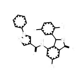 O=C(Nc1cc(Br)cc2c1C(c1cc(F)ccc1Cl)NC2=O)c1cnn(-c2ccccc2)c1